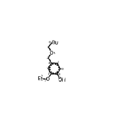 CCOc1cc(COCC(C)CC)ccc1O